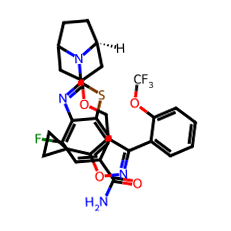 NC(=O)c1cc(F)c2nc(N3C4CC[C@H]3CC(OCc3c(-c5ccccc5OC(F)(F)F)noc3C3CC3)C4)sc2c1